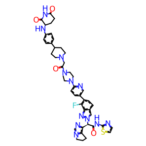 O=C1CC[C@@H](Nc2ccc(C3CCN(CC(=O)N4CCN(c5ccc(-c6ccc7cn([C@@H](C(=O)Nc8nccs8)c8ncn9c8CCC9)nc7c6F)cn5)CC4)CC3)cc2)C(=O)N1